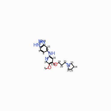 COc1cnc(Nc2ccc3[nH]nnc3c2)cc1OCCCN1CCCC1